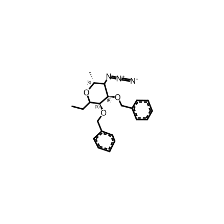 CCC1O[C@H](C)C(N=[N+]=[N-])[C@@H](OCc2ccccc2)[C@H]1OCc1ccccc1